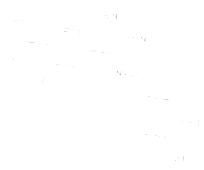 Nc1ncc(C2CCC(O)C(F)C2)nc1-c1ccc(C(=O)O)c(F)c1